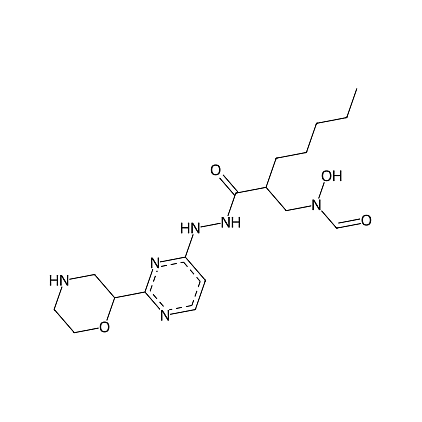 CCCCCC(CN(O)C=O)C(=O)NNc1ccnc(C2CNCCO2)n1